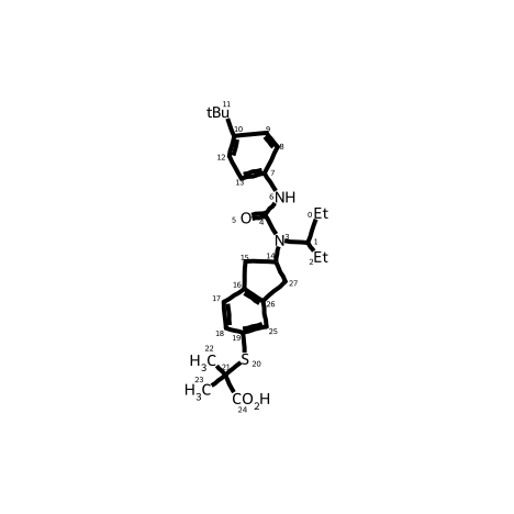 CCC(CC)N(C(=O)Nc1ccc(C(C)(C)C)cc1)C1Cc2ccc(SC(C)(C)C(=O)O)cc2C1